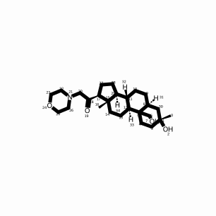 C[C@@]1(O)CCC2(CO)[C@@H](CC[C@@H]3[C@@H]2CC[C@]2(C)[C@@H](C(=O)CN4CCOCC4)CC[C@@H]32)C1